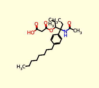 CCCCCCCCc1ccc(C(CC)(NC(C)=O)C(CC)OC(=O)CC(=O)O)cc1